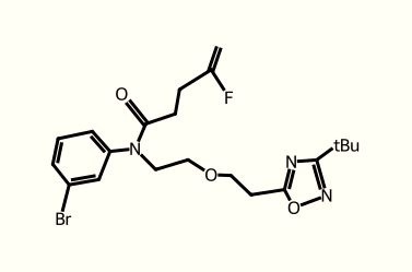 C=C(F)CCC(=O)N(CCOCCc1nc(C(C)(C)C)no1)c1cccc(Br)c1